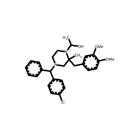 COc1ccc(CC2(C)CN(C(c3ccccc3)c3ccc(Cl)cc3)CCN2C(C)O)cc1OC